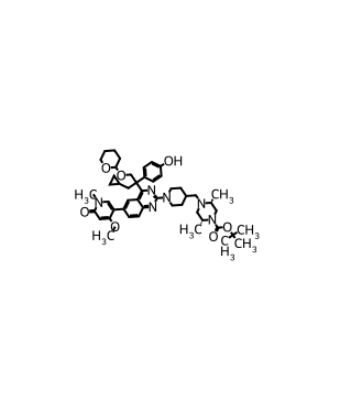 COc1cc(=O)n(C)cc1-c1ccc2nc(N3CCC(CN4C[C@@H](C)N(C(=O)OC(C)(C)C)C[C@@H]4C)CC3)nc(C(COC3CCCCO3)(CC3CC3)c3ccc(O)cc3)c2c1